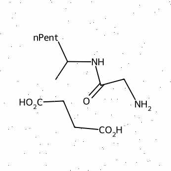 CCCCCC(C)NC(=O)CN.O=C(O)CCC(=O)O